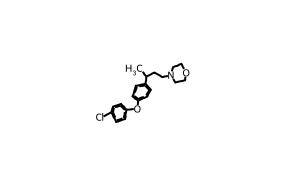 CC(CCN1CCOCC1)c1ccc(Oc2ccc(Cl)cc2)cc1